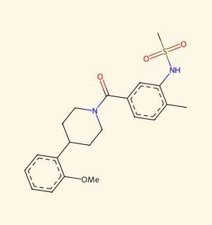 COc1ccccc1C1CCN(C(=O)c2ccc(C)c(NS(C)(=O)=O)c2)CC1